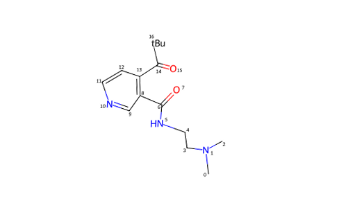 CN(C)CCNC(=O)c1cnccc1C(=O)C(C)(C)C